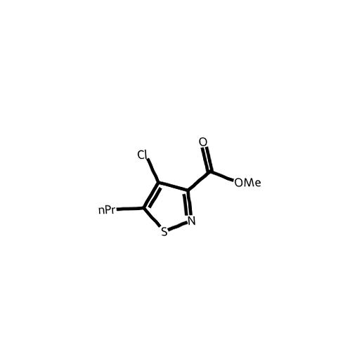 CCCc1snc(C(=O)OC)c1Cl